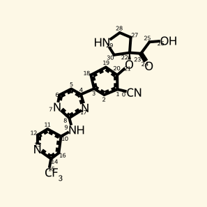 N#Cc1cc(-c2ccnc(Nc3ccnc(C(F)(F)F)c3)n2)ccc1O[C@]1(C(=O)CO)CCNC1